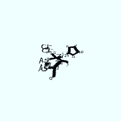 CC1=C(C)[C](C)([Zr+2][C]2=CC=CC2)[As]=[As]1.[Cl-].[Cl-]